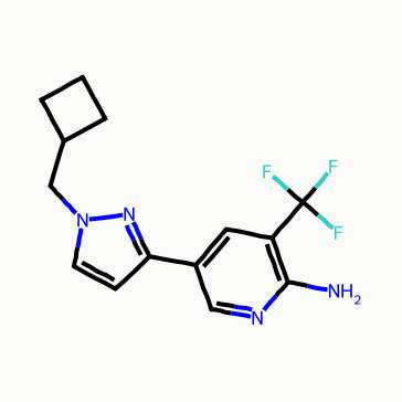 Nc1ncc(-c2ccn(CC3CCC3)n2)cc1C(F)(F)F